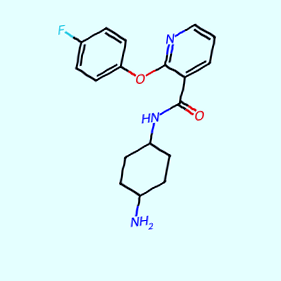 NC1CCC(NC(=O)c2cccnc2Oc2ccc(F)cc2)CC1